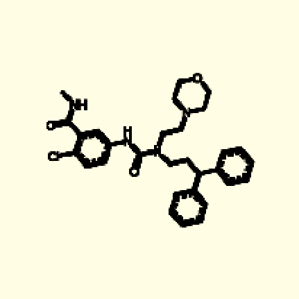 CNC(=O)c1cc(NC(=O)N(CCC(c2ccccc2)c2ccccc2)CCN2CCOCC2)ccc1Cl